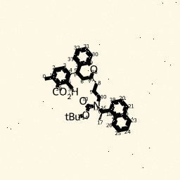 Cc1ccc([C@H]2C[C@@H](CCCN(C(=O)OC(C)(C)C)[C@H](C)c3cccc4ccccc34)Oc3ccccc32)c(C)c1C(=O)O